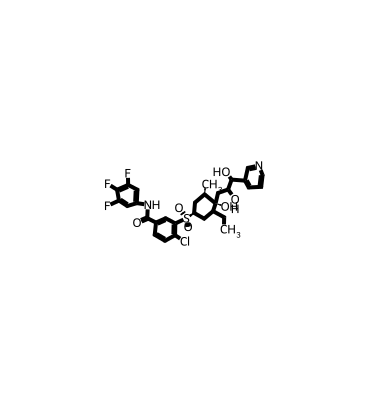 CCC1C[C@@H](S(=O)(=O)c2cc(C(=O)Nc3cc(F)c(F)c(F)c3)ccc2Cl)C[C@H](C)[C@@]1(O)CC(O)C(O)c1cccnc1